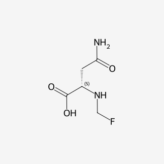 NC(=O)C[C@H](NCF)C(=O)O